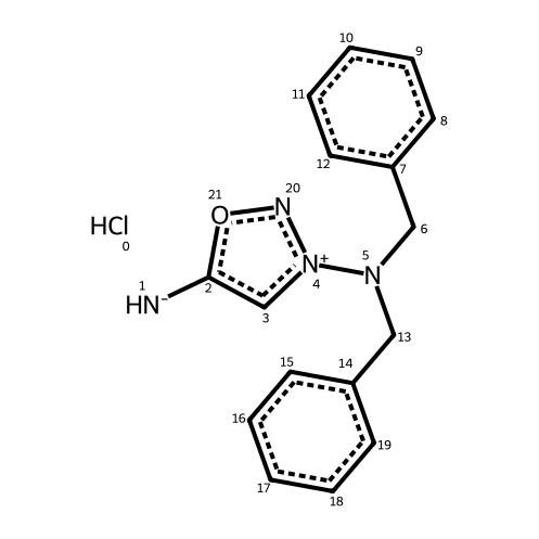 Cl.[NH-]c1c[n+](N(Cc2ccccc2)Cc2ccccc2)no1